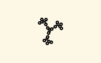 c1ccc(N(c2ccc(-c3ccc(-n4c5ccc(-c6ccc(N(c7ccccc7)c7cc8ccccc8c8ccccc78)cc6)cc5c5cc(-c6ccc(N(c7ccccc7)c7cc8ccccc8c8ccccc78)cc6)ccc54)cc3)cc2)c2cc3ccccc3c3ccccc23)cc1